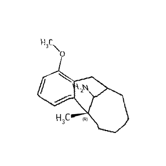 COc1cccc2c1CC1CCCC[C@@]2(C)C1N